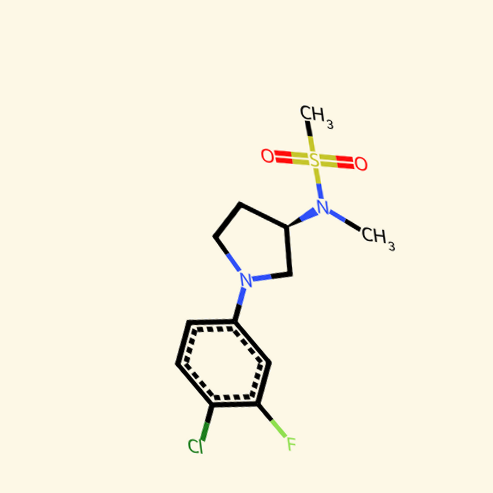 CN([C@@H]1CCN(c2ccc(Cl)c(F)c2)C1)S(C)(=O)=O